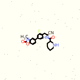 Cn1c(=O)oc2ccc(-c3ccc(C[C@@H](C#N)NC(=O)C4CCCCCNC4)c(F)c3)cc21